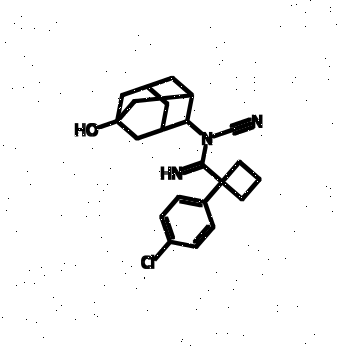 N#CN(C(=N)C1(c2ccc(Cl)cc2)CCC1)C1C2CC3CC1CC(O)(C3)C2